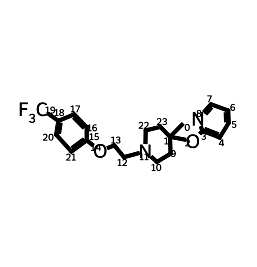 CC1(Oc2ccccn2)CCN(CCOc2ccc(C(F)(F)F)cc2)CC1